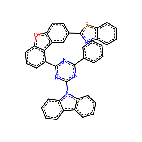 c1ccc(-c2nc(-c3cccc4oc5ccc(-c6nc7ccccc7s6)cc5c34)nc(-n3c4ccccc4c4ccccc43)n2)cc1